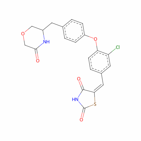 O=C1COCC(Cc2ccc(Oc3ccc(C=C4SC(=O)NC4=O)cc3Cl)cc2)N1